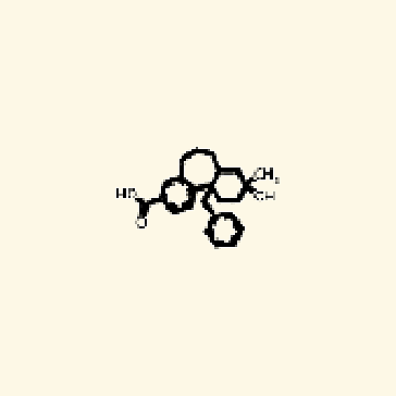 CC1(O)CCC2(Cc3ccccc3)c3ccc(C(=O)O)cc3CCCC2C1